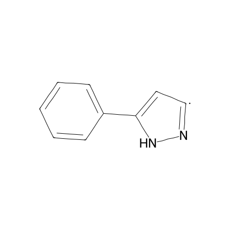 [c]1cc(-c2ccccc2)[nH]n1